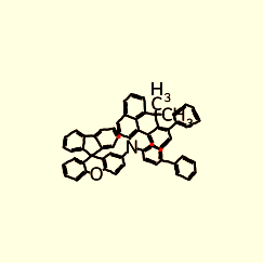 CC1(C)c2c(-c3ccccc3)cccc2-c2c(N(c3ccc(-c4ccccc4)cc3)c3ccc4c(c3)C3(c5ccccc5O4)c4ccccc4-c4ccccc43)ccc3cccc1c23